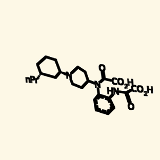 CCC[C@@H]1CCC[C@@H](N2CCC(N(C(=O)C(=O)O)c3ccccc3NC(=O)C(=O)O)CC2)C1